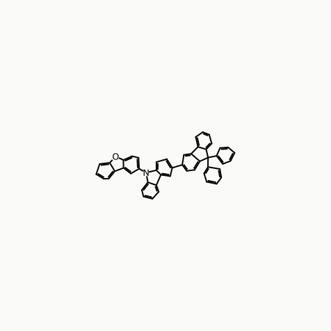 c1ccc(C2(c3ccccc3)c3ccccc3-c3cc(-c4ccc5c(c4)c4ccccc4n5-c4ccc5oc6ccccc6c5c4)ccc32)cc1